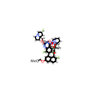 COCOc1cc(-c2c(F)c(Cl)c3c(N4CC5CCC(C4)N5C(=O)OC(C)(C)C)nc(OC[C@@]45CCCN4C[C@H](F)C5)nc3c2F)c2c(C#C[Si](C(C)C)(C(C)C)C(C)C)c(F)ccc2c1